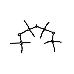 C[Si](C)(C)O[Si](C)(C)S[Si](C)(C)O[Si](C)(C)C